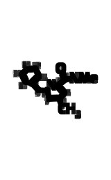 CNC(=O)c1cc(C)cc(Cc2ccccc2)n1